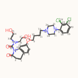 O=C1CCc2ccc(OCCCCN3CCN(c4cccc(Cl)c4Cl)CC3)cc2N1C(=O)N(CCO)CCO